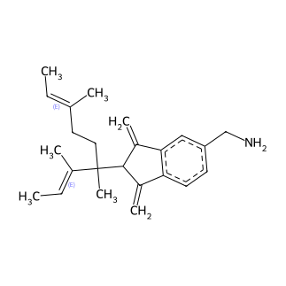 C=C1c2ccc(CN)cc2C(=C)C1C(C)(CC/C(C)=C/C)/C(C)=C/C